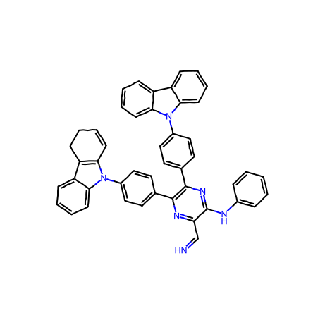 N=Cc1nc(-c2ccc(-n3c4c(c5ccccc53)CCC=C4)cc2)c(-c2ccc(-n3c4ccccc4c4ccccc43)cc2)nc1Nc1ccccc1